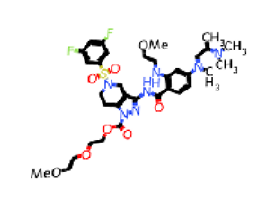 COCCNc1cc(N(C)CC(C)N(C)C)ccc1C(=O)Nc1nn(C(=O)OCCOCCOC)c2c1CN(S(=O)(=O)c1cc(F)cc(F)c1)CC2